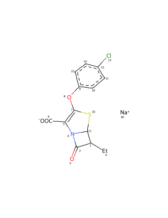 CCC1C(=O)N2C(C(=O)[O-])=C(Oc3ccc(Cl)cc3)SC12.[Na+]